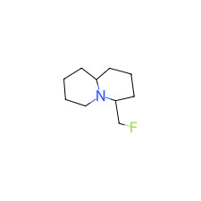 FCC1CCCC2CCCCN12